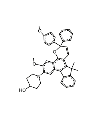 COc1ccc(C2(c3ccccc3)C=Cc3c4c(c5cc(N6CCC(O)CC6)c(OC)cc5c3O2)-c2ccccc2C4(C)C)cc1